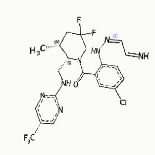 C[C@@H]1CC(F)(F)CN(C(=O)c2cc(Cl)ccc2N/N=C\C=N)[C@@H]1CNc1ncc(C(F)(F)F)cn1